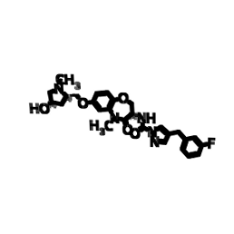 CN1C(=O)[C@@H](NC(=O)n2cc(Cc3cccc(F)c3)cn2)COc2ccc(OC[C@@H]3C[C@@H](O)CN3C)cc21